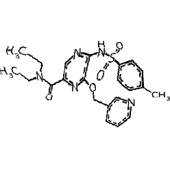 CCN(CC)C(=O)c1cnc(NS(=O)(=O)c2ccc(C)cc2)c(OCc2cccnc2)n1